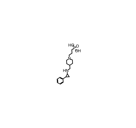 O=P(O)(O)CCCN1CCC(CNC2CC2c2ccccc2)CC1